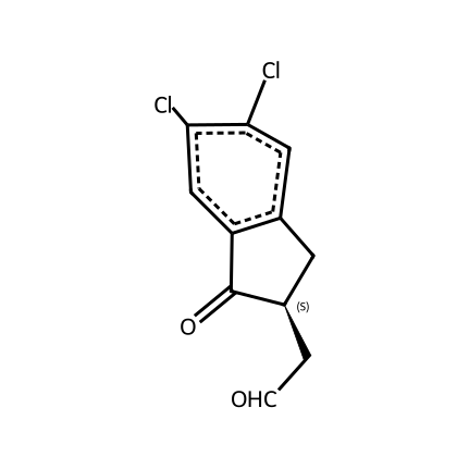 O=CC[C@@H]1Cc2cc(Cl)c(Cl)cc2C1=O